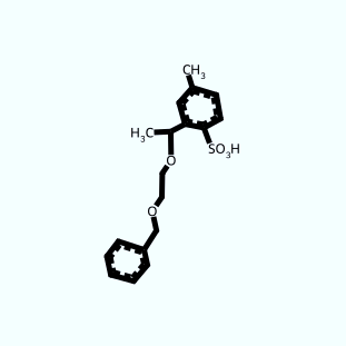 Cc1ccc(S(=O)(=O)O)c(C(C)OCCOCc2ccccc2)c1